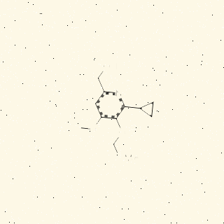 CCOc1cc(CO)nc(C2CC2)c1OCOC